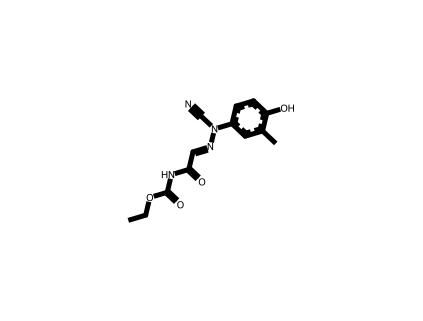 CCOC(=O)NC(=O)C=NN(C#N)c1ccc(O)c(C)c1